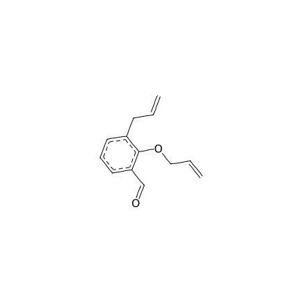 C=CCOc1c(C=O)cccc1CC=C